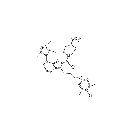 Cc1cc(OCCCc2c(C(=O)N3CCC(C(=O)O)CC3)[nH]c3c(-c4c(C)nn(C)c4C)cccc23)cc(C)c1Cl